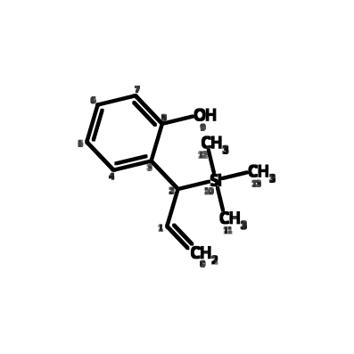 C=CC(c1ccccc1O)[Si](C)(C)C